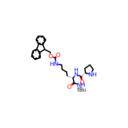 CC(C)(C)NC(=O)[C@H](CCCCNC(=O)OCC1c2ccccc2-c2ccccc21)NC(=O)[C@@H]1CCCN1